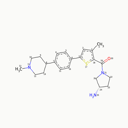 Cc1cc(-c2ccc(C3CCN(C)CC3)cc2)sc1C(=O)N1CC[C@H](N)C1